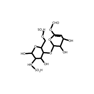 O=COC1=CC(O)C(O)C(OC2C(COS(=O)(=O)O)OC(O)C(NS(=O)(=O)O)C2O)O1